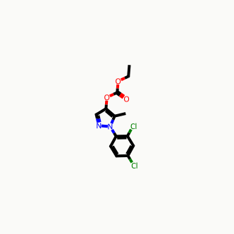 CCOC(=O)Oc1cnn(-c2ccc(Cl)cc2Cl)c1C